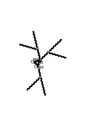 CCCCCCCCCCCCN(CCCCCCCCCCCC)CCCCCCNC(=O)C1(C)CC(C)(C(N)=O)CC(C)(C(=O)N(CCCCCCN(CCCCCCCCCCCC)CCCCCCCCCCCC)CCCCCCN(CCCCCCCCCCCC)CCCCCCCCCCCC)C1